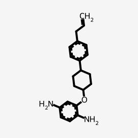 C=CCc1ccc(C2CCC(Oc3cc(N)ccc3N)CC2)cc1